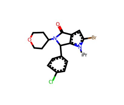 CC(C)n1c(Br)cc2c1C(c1ccc(Cl)cc1)N(C1CCOCC1)C2=O